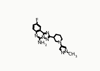 Cn1cc(N2CCCC(c3nc4c5cc(F)ccc5nc(N)n4n3)C2)cn1